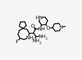 CN1CCC(OC2CCNCC2NC(=O)C(C(N)N)C2CC3(CCCC3)CCC(F)CN2)CC1